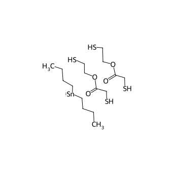 CCC[CH2][Sn][CH2]CCC.O=C(CS)OCCS.O=C(CS)OCCS